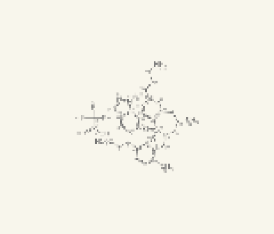 Cc1ccc(C(CC(=O)O)c2ccc3c(c2)nnn3C)cc1CN1CC(C)Cc2cc(CCCN)ccc2S1(=O)=O.O=C(O)C(F)(F)F